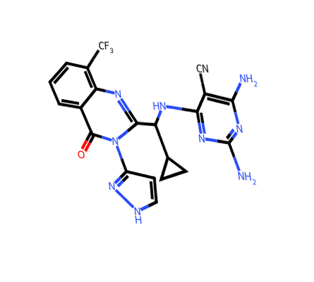 N#Cc1c(N)nc(N)nc1NC(c1nc2c(C(F)(F)F)cccc2c(=O)n1-c1cc[nH]n1)C1CC1